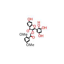 COc1ccc(OC)c(C(=O)COc2c(-c3cc(O)cc(O)c3O)oc3cc(O)ccc3c2=O)c1